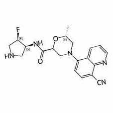 C[C@@H]1CN(c2ccc(C#N)c3ncccc23)CC(C(=O)N[C@H]2CNC[C@H]2F)O1